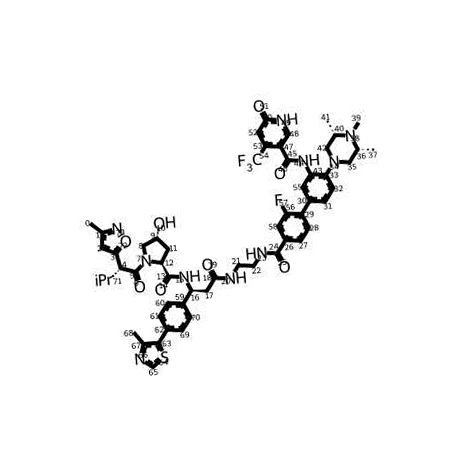 Cc1cc([C@H](C(=O)N2C[C@H](O)C[C@H]2C(=O)N[C@@H](CC(=O)NCCNC(=O)c2ccc(-c3ccc(N4C[C@@H](C)N(C)[C@@H](C)C4)c(NC(=O)c4c[nH]c(=O)cc4C(F)(F)F)c3)c(F)c2)c2ccc(-c3scnc3C)cc2)C(C)C)on1